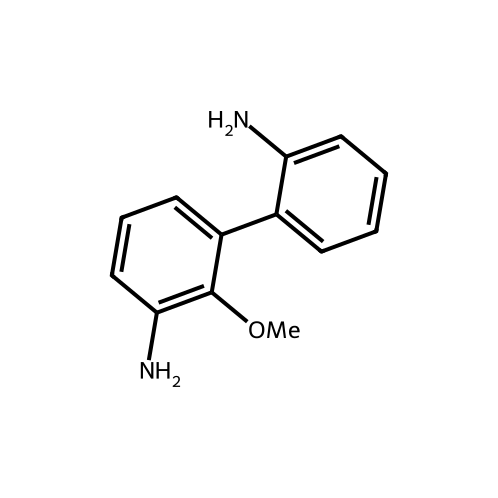 COc1c(N)cccc1-c1ccccc1N